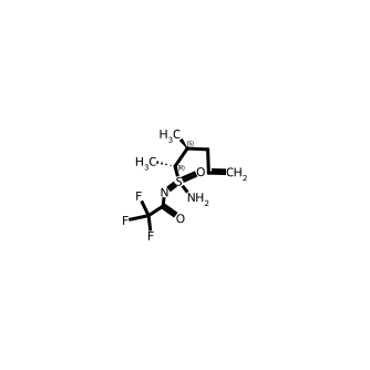 C=CC[C@H](C)[C@@H](C)S(N)(=O)=NC(=O)C(F)(F)F